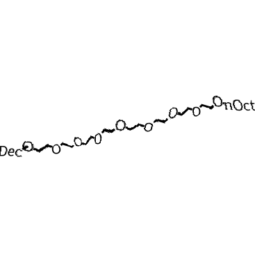 CCCCCCCCCCOCCOCCOCCOCCOCCOCCOCCOCCOCCCCCCCC